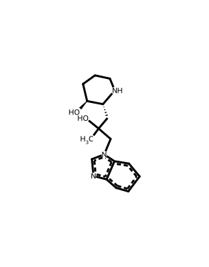 CC(O)(C[C@H]1NCCC[C@@H]1O)Cn1cnc2ccccc21